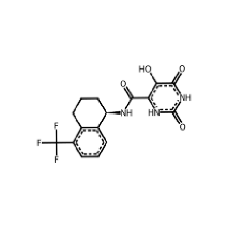 O=C(N[C@@H]1CCCc2c1cccc2C(F)(F)F)c1[nH]c(=O)[nH]c(=O)c1O